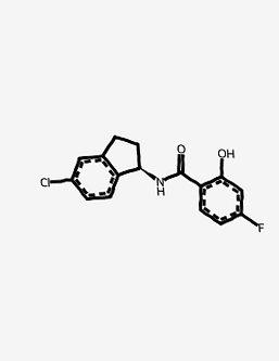 O=C(N[C@@H]1CCc2cc(Cl)ccc21)c1ccc(F)cc1O